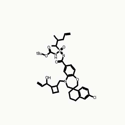 C=CCC(C)C(C)S(=O)(=NC(=O)c1ccc2c(c1)N(CC1CCC1C(O)C=C)CC1(CCCc3cc(Cl)ccc31)CO2)NC(=O)OC(C)(C)C